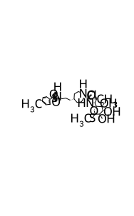 CSC1O[C@H]([C@H](NC(=O)[C@@H]2CC[C@H](CCCNS(=O)(=O)c3ccc(C)cc3)CCN2)[C@H](C)Cl)[C@@H](O)C(O)[C@H]1O